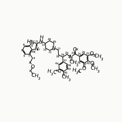 CCOCCc1cccc2[nH]c(NC3CCN(CCC(CN(C)C(=O)c4cc(OC)c(OC)c(OC)c4)c4ccc(C)c(C)c4)CC3)nc12